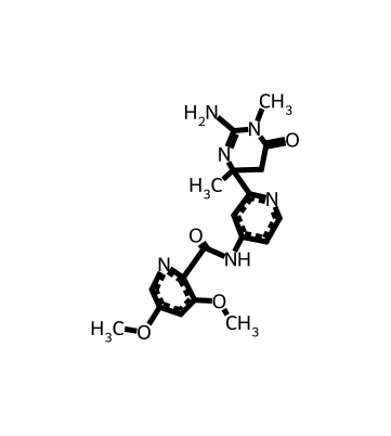 COc1cnc(C(=O)Nc2ccnc(C3(C)CC(=O)N(C)C(N)=N3)c2)c(OC)c1